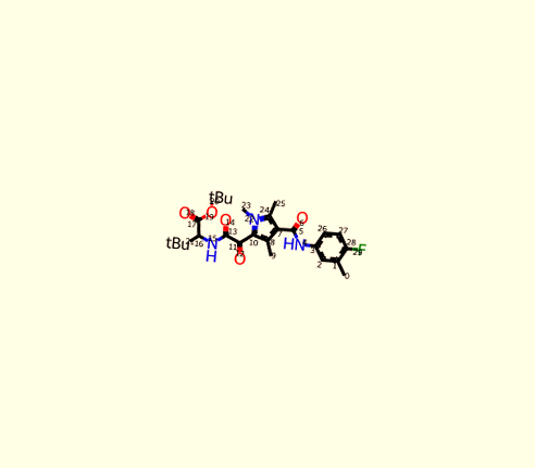 Cc1cc(NC(=O)c2c(C)c(C(=O)C(=O)NC(C(=O)OC(C)(C)C)C(C)(C)C)n(C)c2C)ccc1F